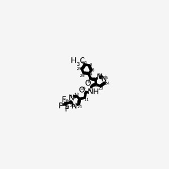 Cc1ccc(-c2oc(NC(=O)Cc3cnc(C(F)(F)F)nc3)c3ccnnc23)cc1